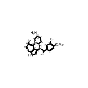 COc1ccc(C(=O)Nc2c[nH]c3ncc(Br)c(N4CCC[C@@H](N)C4)c23)cc1F